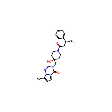 CC(=O)c1ccc2c(=O)n(CC3(O)CCN(C(=O)C[C@@H](C)c4ccccc4)CC3)cnn12